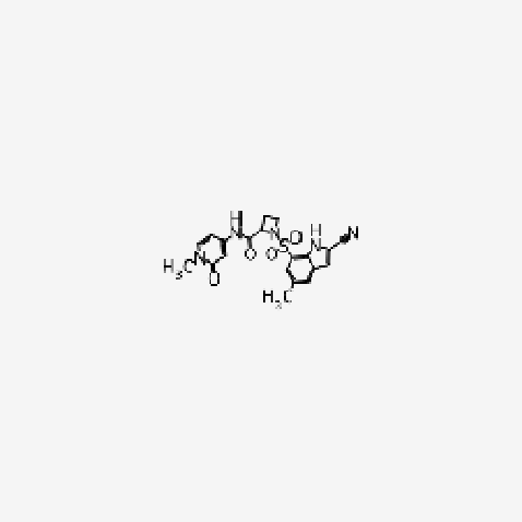 Cc1cc(S(=O)(=O)N2CC[C@@H]2C(=O)Nc2ccn(C)c(=O)c2)c2[nH]c(C#N)cc2c1